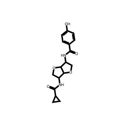 O=C(NC1COC2C(NC(=O)C3CC3)COC12)c1ccc(O)cc1